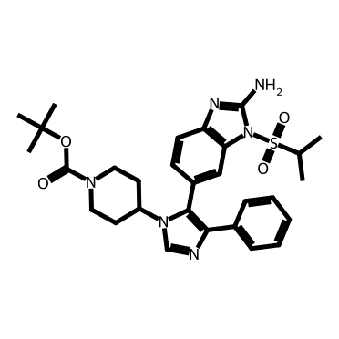 CC(C)S(=O)(=O)n1c(N)nc2ccc(-c3c(-c4ccccc4)ncn3C3CCN(C(=O)OC(C)(C)C)CC3)cc21